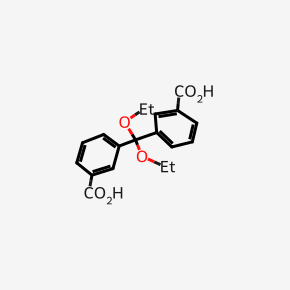 CCOC(OCC)(c1cccc(C(=O)O)c1)c1cccc(C(=O)O)c1